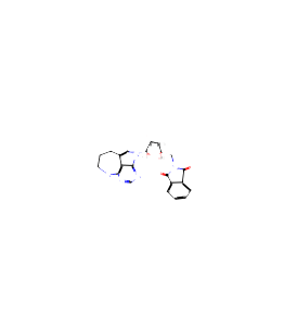 O=C1c2ccccc2C(=O)N1C[C@H]1O[C@@H](n2cc3c4c(ncnc42)NCCC3)[C@H](O)[C@@H]1O